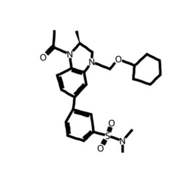 CC(=O)N1c2ccc(-c3cccc(S(=O)(=O)N(C)C)c3)cc2N(COC2CCCCC2)C[C@@H]1C